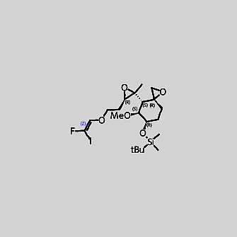 CO[C@H]1[C@H](C2(C)O[C@@H]2CCO/C=C(/F)I)[C@]2(CC[C@H]1O[Si](C)(C)C(C)(C)C)CO2